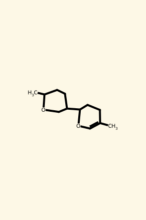 CC1=COC(C2CCC(C)OC2)CC1